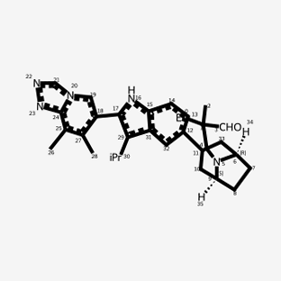 CCC(C)(C=O)CN1[C@@H]2CC[C@H]1CC(c1ccc3[nH]c(-c4cn5cnnc5c(C)c4C)c(C(C)C)c3c1)C2